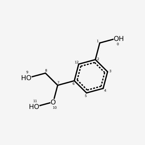 OCc1cccc(C(CO)OO)c1